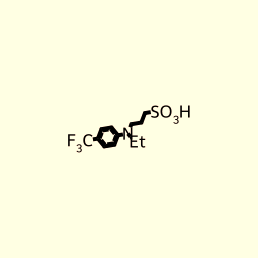 CCN(CCCS(=O)(=O)O)c1ccc(C(F)(F)F)cc1